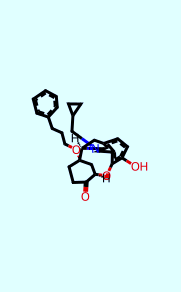 O=C1CC[C@]2(OCCCc3ccccc3)C[C@H]1Oc1c(O)ccc3c1CCCN(CC1CC1)[C@@H]2C3